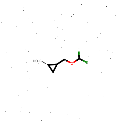 O=C(O)[C@H]1CC1COC(F)F